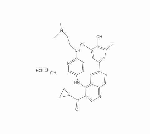 CN(C)CCNc1ccc(Nc2c(C(=O)C3CC3)cnc3ccc(-c4cc(F)c(O)c(Cl)c4)cc23)cn1.Cl.Cl.Cl